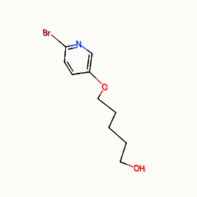 OCCCCCOc1ccc(Br)nc1